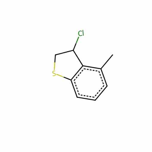 Cc1cccc2c1C(Cl)CS2